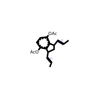 C/C=C/C1CC(/C=C/C)c2c(OC(C)=O)ccc(OC(C)=O)c21